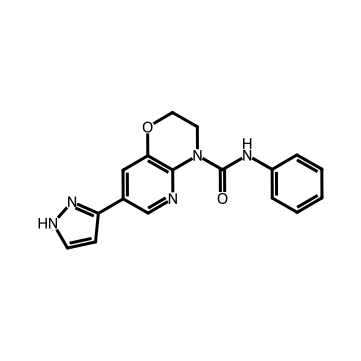 O=C(Nc1ccccc1)N1CCOc2cc(-c3cc[nH]n3)cnc21